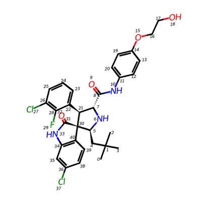 CC(C)(C)C[C@@H]1N[C@@H](C(=O)Nc2ccc(OCCO)cc2)[C@H](c2cccc(Cl)c2F)[C@]12C(=O)Nc1cc(Cl)ccc12